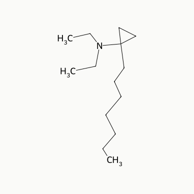 CCCCCCCC1(N(CC)CC)CC1